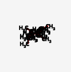 CCCCCCCCON1C(C)(C)CC(OC(=O)CCN(CCCCCCN(CCC(=O)OC2CC(C)(C)N(OCCCCCCCC)C(C)(C)C2)C2CC(C)(C)N(OCCCCCCCC)C(C)(C)C2)C2CC(C)(C)N(OCCCCCCCC)C(C)(C)C2)CC1(C)C